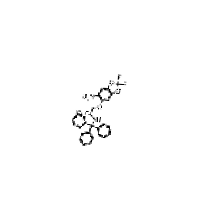 O=C(O)[C@H](COc1cc2c(cc1[N+](=O)[O-])OC(F)(F)O2)NC(c1ccccc1)(c1ccccc1)c1ccccc1